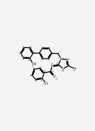 CCc1nn(Cc2ccc(-c3ccccc3C#N)cc2)c(=NC(=O)c2ccccc2Cl)s1